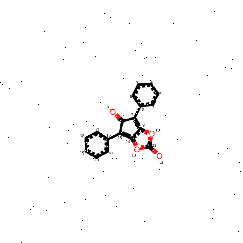 O=C1C(c2ccccc2)=c2oc(=O)oc2=C1c1ccccc1